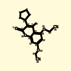 Cc1c(C2CCCC2)c(=O)oc2cc(OCC#N)cc(OCC#N)c12